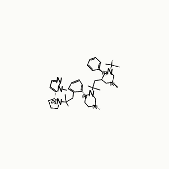 C[C@@H]1CC[C@H](c2ccccc2CC(C)(C)N2CCC[C@@H]2c2ccnn2C)N(C(C)(C)CC2C[C@H](C)CN(C(C)(C)C)[C@@H]2c2ccccc2)C1